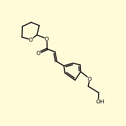 O=C(/C=C/c1ccc(OCCO)cc1)OC1CCCCO1